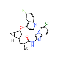 CCC(C[C@@H]1C[C@@H](Oc2ccnc3ccc(F)cc23)C2C[C@@H]21)C(=O)Nc1cn2cc(Cl)ccc2n1